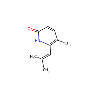 CC(C)=Cc1[nH]c(=O)ccc1C